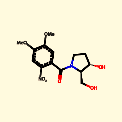 COc1cc(C(=O)N2CC[C@H](O)[C@H]2CO)c([N+](=O)[O-])cc1OC